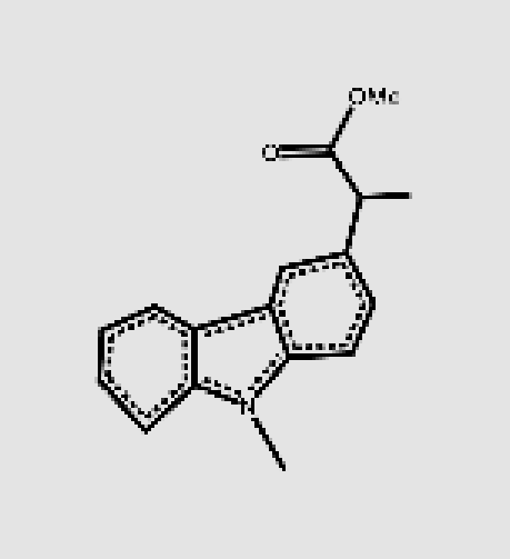 COC(=O)C(C)c1ccc2c(c1)c1ccccc1n2C